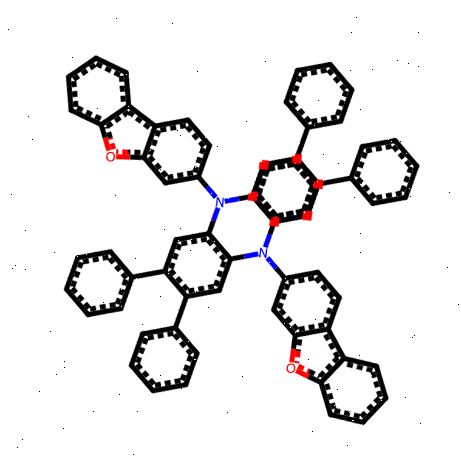 c1ccc(-c2ccc(N(c3ccc4c(c3)oc3ccccc34)c3cc(-c4ccccc4)c(-c4ccccc4)cc3N(c3ccc(-c4ccccc4)cc3)c3ccc4c(c3)oc3ccccc34)cc2)cc1